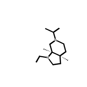 CCN1CC[C@]2(C)CCN(C(C)C)C[C@]12C